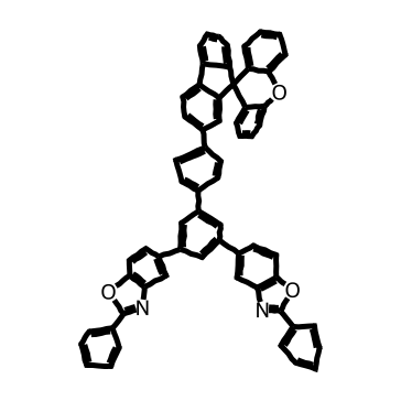 c1ccc(-c2nc3cc(-c4cc(-c5ccc(-c6ccc7c(c6)C6(c8ccccc8Oc8ccccc86)c6ccccc6-7)cc5)cc(-c5ccc6oc(-c7ccccc7)nc6c5)c4)ccc3o2)cc1